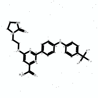 NC(=O)c1cc(OCCN2CCNC2=O)nc(-c2ccc(Oc3ccc(C(F)(F)F)cc3)cc2)n1